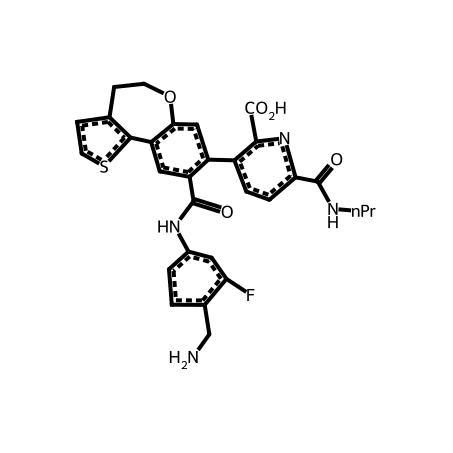 CCCNC(=O)c1ccc(-c2cc3c(cc2C(=O)Nc2ccc(CN)c(F)c2)-c2sccc2CCO3)c(C(=O)O)n1